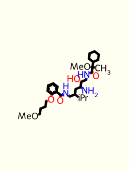 COCCCCOc1ccccc1C(=O)NCC(CC(N)C(O)CNC(=O)C(C)(OC)C1CCCCC1)C(C)C